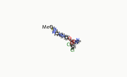 COC1CN(C)/C(=N\c2ccc(N3CCN(c4ccc(OCC5COC(Cn6ccnc6)(c6ccc(Cl)cc6Cl)O5)cc4)CC3)cc2)S1